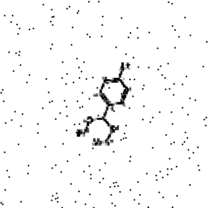 CCc1ccc(C(OC(C)C)SSC)cc1